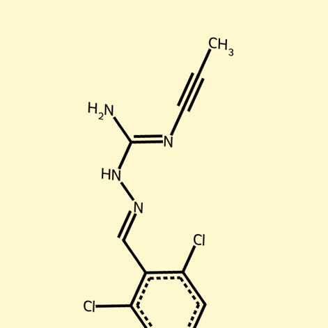 CC#CN=C(N)NN=Cc1c(Cl)cccc1Cl